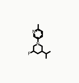 Cc1ccc(N2CC(F)CC(C(C)C)C2)cn1